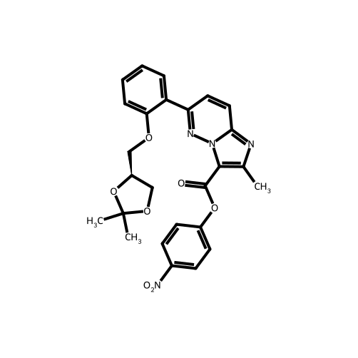 Cc1nc2ccc(-c3ccccc3OC[C@H]3COC(C)(C)O3)nn2c1C(=O)Oc1ccc([N+](=O)[O-])cc1